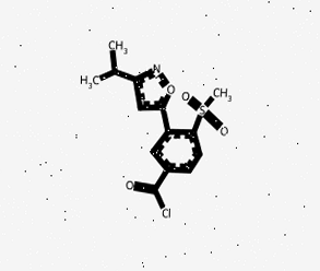 CC(C)c1cc(-c2cc(C(=O)Cl)ccc2S(C)(=O)=O)on1